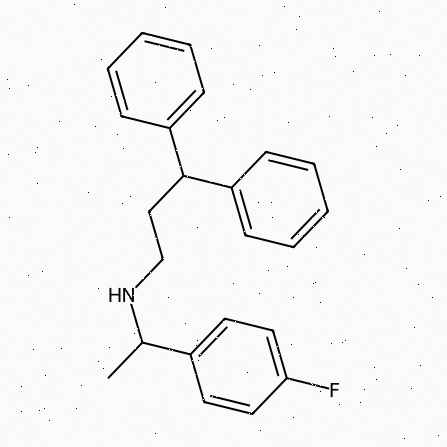 CC(NCCC(c1ccccc1)c1ccccc1)c1ccc(F)cc1